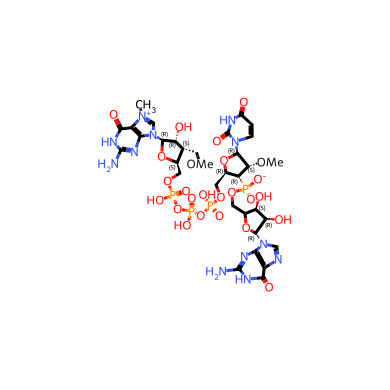 COC[C@H]1[C@@H](O)[C@H](n2c[n+](C)c3c(=O)[nH]c(N)nc32)O[C@@H]1COP(=O)(O)OP(=O)(O)OP(=O)(O)OC[C@H]1O[C@@H](n2ccc(=O)[nH]c2=O)[C@H](OC)[C@@H]1P(=O)([O-])OCC1O[C@@H](n2cnc3c(=O)[nH]c(N)nc32)[C@H](O)[C@@H]1O